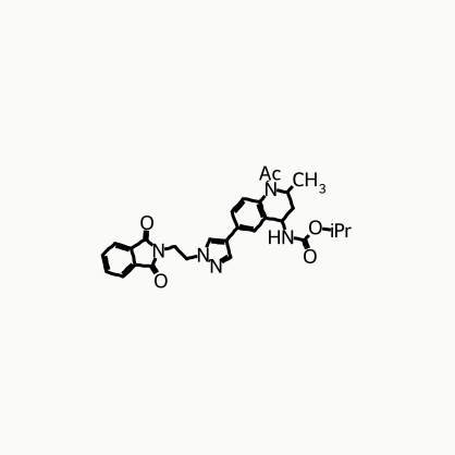 CC(=O)N1c2ccc(-c3cnn(CCN4C(=O)c5ccccc5C4=O)c3)cc2C(NC(=O)OC(C)C)CC1C